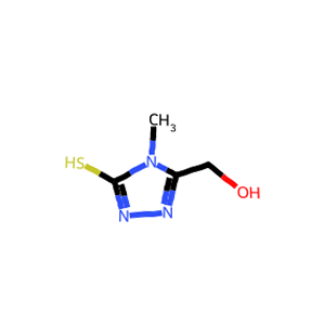 Cn1c(S)nnc1CO